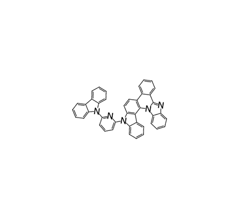 c1cc(-n2c3ccccc3c3ccccc32)nc(-n2c3ccccc3c3c2ccc2c4ccccc4c4nc5ccccc5n4c23)c1